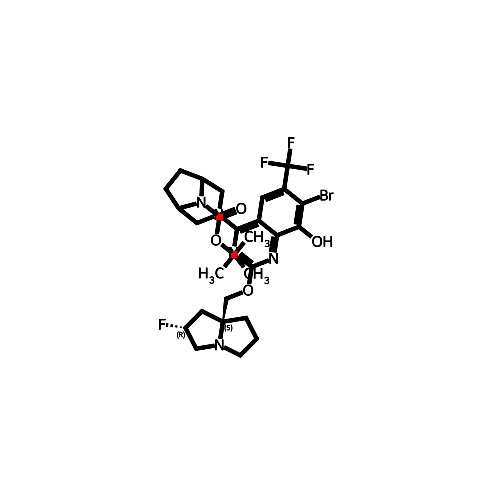 CC(C)(C)OC(=O)N1C2CCC1CN(c1nc(OC[C@@]34CCCN3C[C@H](F)C4)nc3c(O)c(Br)c(C(F)(F)F)cc13)C2